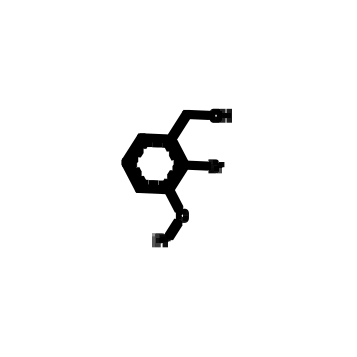 CC(C)Oc1cccc(CO)c1Br